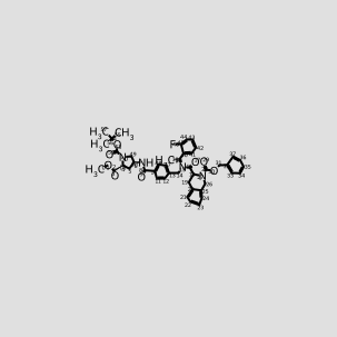 COC(=O)[C@@H]1C[C@H](NC(=O)c2ccc(CN(C(=O)C3Cc4ccccc4CN3C(=O)OCc3ccccc3)[C@H](C)c3ccccc3F)cc2)CN1C(=O)OC(C)(C)C